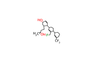 C=C(O)CCC1CC(O)C=CC1C1C=C(CF)C(C2C=C(C(F)(F)F)CCC2)CC1